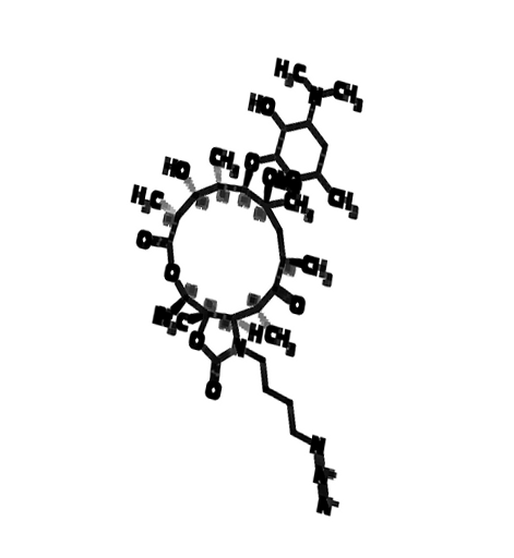 CC[C@H]1OC(=O)[C@H](C)[C@H](O)[C@H](C)[C@@H](OC2OC(C)CC(N(C)C)C2O)[C@@](C)(OC)C[C@@H](C)C(=O)[C@H](C)[C@H]2N(CCCCN=[N+]=[N-])C(=O)O[C@]12C